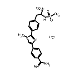 Cl.Cn1cc(-c2ccc(C(=N)N)cc2)nc1-c1ccc(CC(NS(C)(=O)=O)C(=O)O)cc1